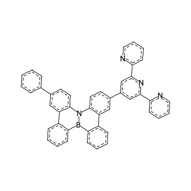 c1ccc(-c2ccc3c(c2)-c2ccccc2B2c4ccccc4-c4cc(-c5cc(-c6ccccn6)nc(-c6ccccn6)c5)ccc4N23)cc1